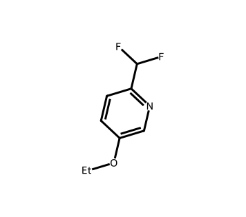 CCOc1ccc(C(F)F)nc1